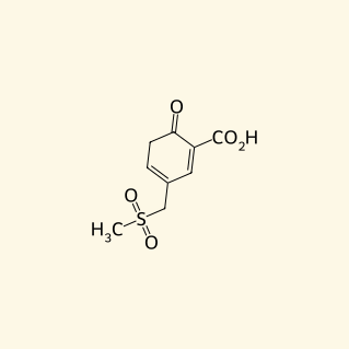 CS(=O)(=O)CC1=CCC(=O)C(C(=O)O)=C1